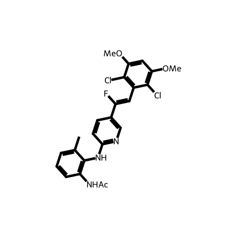 COc1cc(OC)c(Cl)c(/C=C(\F)c2ccc(Nc3c(C)cccc3NC(C)=O)nc2)c1Cl